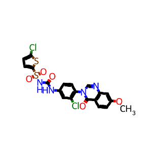 COc1ccc2c(=O)n(-c3ccc(NC(=O)NS(=O)(=O)c4ccc(Cl)s4)cc3Cl)cnc2c1